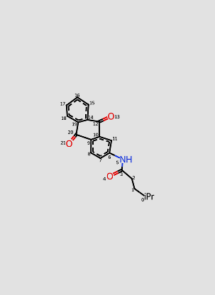 CC(C)CCC(=O)Nc1ccc2c(c1)C(=O)c1ccccc1C2=O